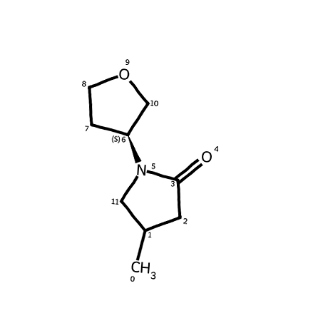 CC1CC(=O)N([C@H]2CCOC2)C1